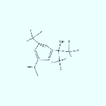 CC(C)c1cc(C(C)(C)C)cc(C(O)(C(F)(F)F)C(F)(F)F)c1